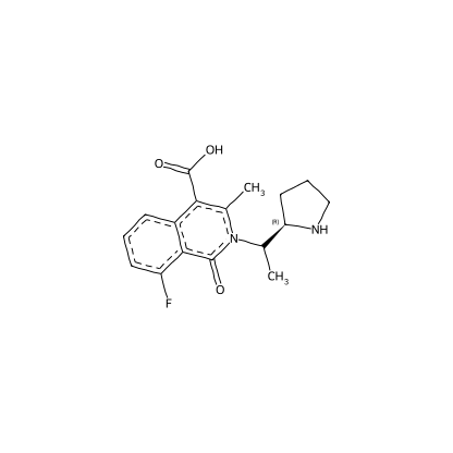 Cc1c(C(=O)O)c2cccc(F)c2c(=O)n1C(C)[C@H]1CCCN1